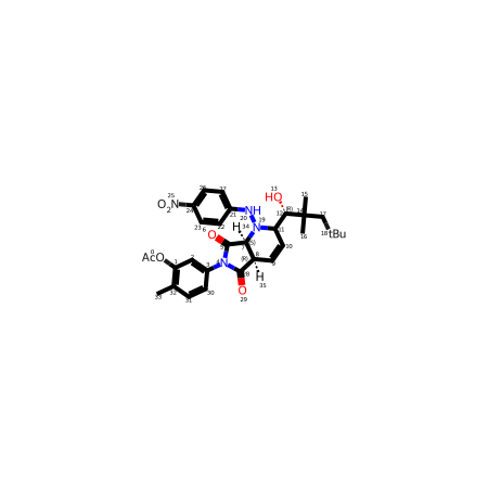 CC(=O)Oc1cc(N2C(=O)[C@@H]3[C@@H](C=CC([C@H](O)C(C)(C)CC(C)(C)C)N3Nc3ccc([N+](=O)[O-])cc3)C2=O)ccc1C